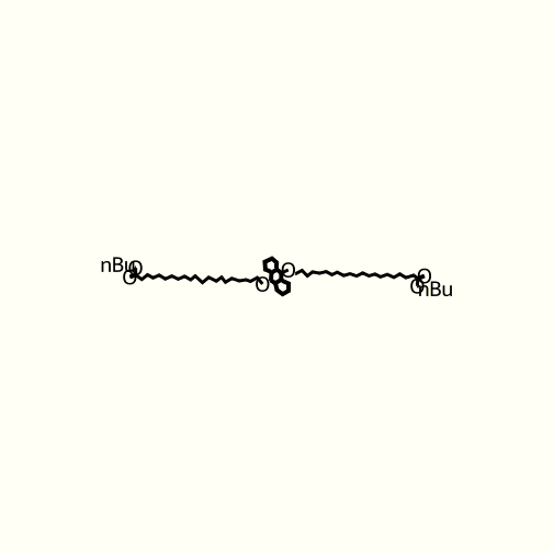 CCCCOC(=O)CCCCCCCCCCCCCCCCCCCCOc1c2ccccc2c(OCCCCCCCCCCCCCCCCCCCCC(=O)OCCCC)c2ccccc12